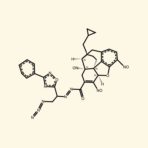 [N-]=[N+]=NCC(N=NC(=O)C1=C(N=O)[C@@H]2Oc3c(N=O)ccc4c3[C@@]23CCN(CC2CC2)[C@H](C4)[C@]3(N=O)C1)c1nc(-c2ccccc2)no1